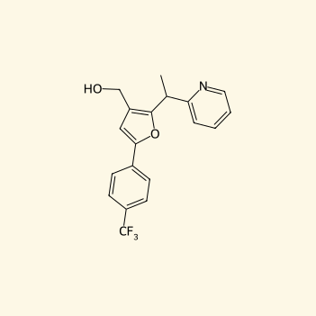 CC(c1ccccn1)c1oc(-c2ccc(C(F)(F)F)cc2)cc1CO